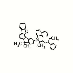 C=C[C@H](C/C=C(\C)N(c1ccc2c(c1)-c1c(ccc3c1oc1ccccc13)C2(C)C)c1cccc2ccccc12)c1ccccc1